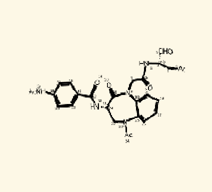 CC(=O)C[C@@H](C=O)NC(=O)CN1C(=O)[C@@H](NC(=O)c2ccc(NC(C)=O)cc2)CN(C(C)=O)c2ccccc21